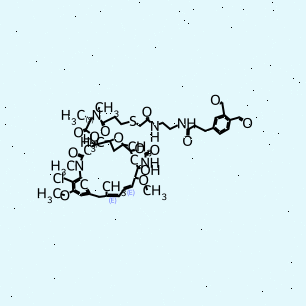 COc1cc2cc(c1Cl)N(C)C(=O)C[C@H](OC(=O)[C@H](C)N(C)C(=O)CCSCC(=O)NCCNC(=O)CCc1ccc(C=O)c(C=O)c1)C1(C)CC(C)(O1)C1CC(O)(NC(=O)O1)C(OC)/C=C/C=C(\C)C2